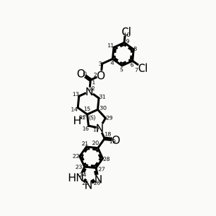 O=C(OCc1cc(Cl)cc(Cl)c1)N1CC[C@@H]2CN(C(=O)c3ccc4[nH]nnc4c3)CC2C1